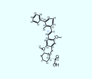 COc1cc(CN2CCCC[C@H]2C(=O)O)c(OC)cc1/C=C/c1cccc(-c2ccccc2)c1C